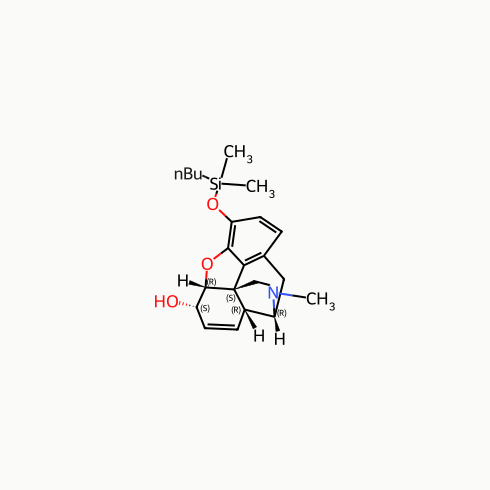 CCCC[Si](C)(C)Oc1ccc2c3c1O[C@H]1[C@@H](O)C=C[C@H]4[C@@H](C2)N(C)CC[C@@]341